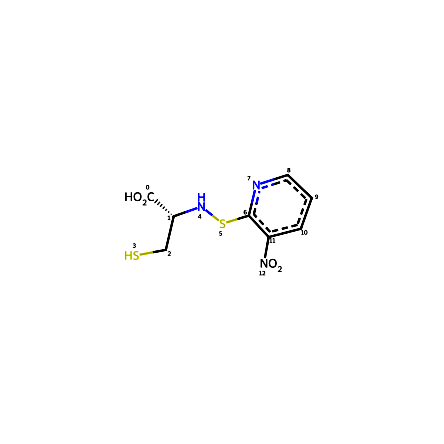 O=C(O)[C@@H](CS)NSc1ncccc1[N+](=O)[O-]